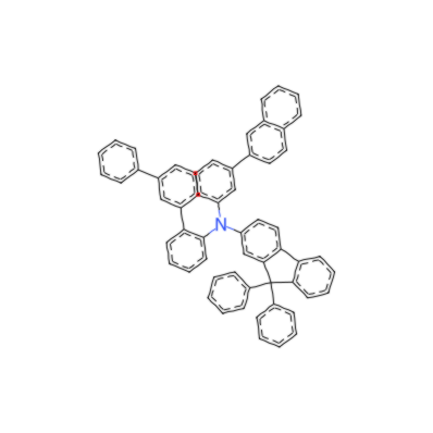 c1ccc(-c2cccc(-c3ccccc3N(c3cccc(-c4ccc5ccccc5c4)c3)c3ccc4c(c3)C(c3ccccc3)(c3ccccc3)c3ccccc3-4)c2)cc1